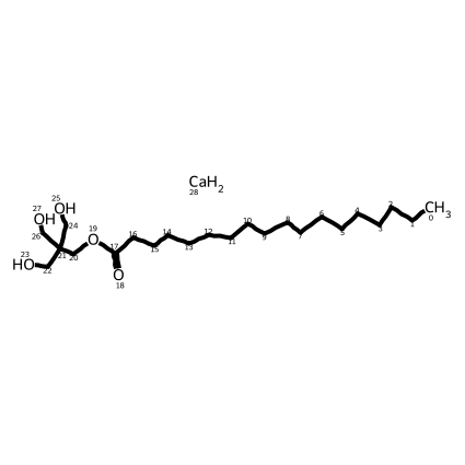 CCCCCCCCCCCCCCCCCC(=O)OCC(CO)(CO)CO.[CaH2]